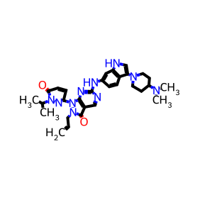 C=CCn1c(=O)c2cnc(Nc3ccc4c(N5CCC(N(C)C)CC5)c[nH]c4c3)nc2n1-c1ccc(=O)n(C(C)C)n1